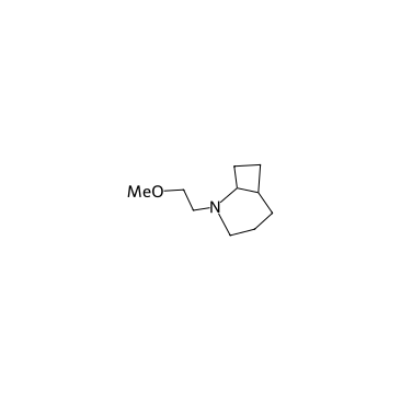 COCCN1CCCC2CCC21